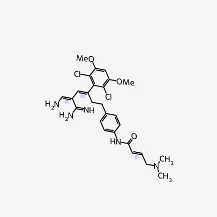 COc1cc(OC)c(Cl)c(/C(=C/C(=C/N)C(=N)N)CCc2ccc(NC(=O)/C=C/CN(C)C)cc2)c1Cl